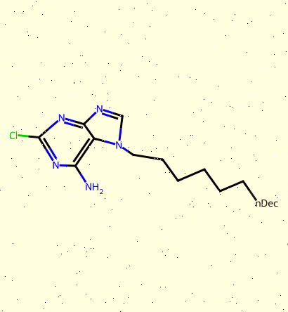 CCCCCCCCCCCCCCCCn1cnc2nc(Cl)nc(N)c21